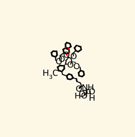 Cc1cc(OCc2ccccc2)c([C@@H]2O[C@H](COCc3ccccc3)[C@@H](OCc3ccccc3)[C@H](OCc3ccccc3)[C@H]2OCc2ccccc2)cc1Cc1ccc(/C=C/CC(=O)NC(CO)(CO)CO)cc1